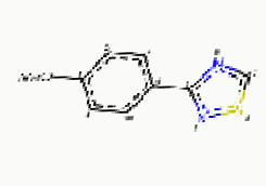 COc1ccc(-c2n[c]sn2)cc1